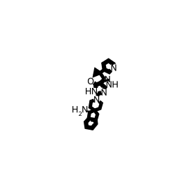 N[C@@H]1c2ccccc2CC12CCN(c1nc3[nH]nc(C4(c5cccnc5)CC4)c3c(=O)[nH]1)CC2